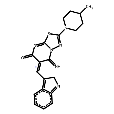 CC1CCN(C2=NN3C(=N)/C(=C\C4=c5ccccc5=NC4)C(=O)N=C3S2)CC1